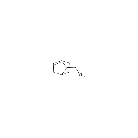 CC=C1C2=CCC1CC2